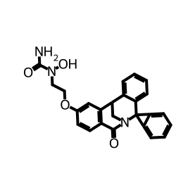 NC(=O)N(O)CCOc1ccc2c(c1)C1CN(C2=O)C2(c3ccccc31)c1ccccc12